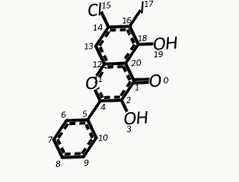 O=c1c(O)c(-c2ccccc2)oc2cc(Cl)c(I)c(O)c12